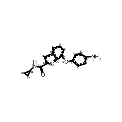 Nc1ccc(Oc2cccc3cc(C(=O)NC4CC4)oc23)cc1